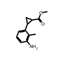 COC(=O)C1CC1c1cccc(N)c1C